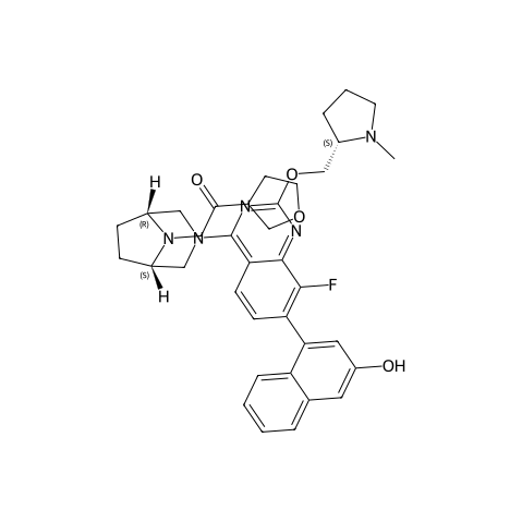 CN1CCC[C@H]1COc1nc(N2C[C@H]3CC[C@@H](C2)N3CC(=O)C2CCOC2)c2ccc(-c3cc(O)cc4ccccc34)c(F)c2n1